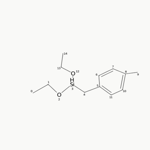 CCO[SiH](Cc1ccc(C)cc1)OCC